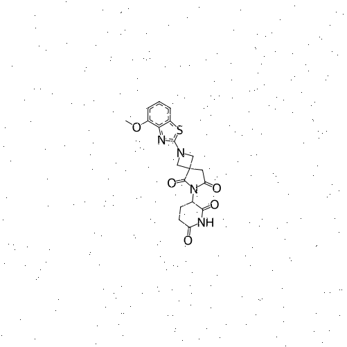 COc1cccc2sc(N3CC4(CC(=O)N(C5CCC(=O)NC5=O)C4=O)C3)nc12